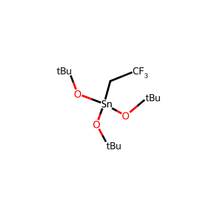 CC(C)(C)[O][Sn]([CH2]C(F)(F)F)([O]C(C)(C)C)[O]C(C)(C)C